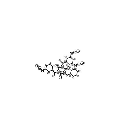 CC(C1CCCC(N=C=O)C1)n1c(=O)n(CC2CCCC(N=C=O)C2)c(=O)n(C(C)C2CCCC(N=C=O)C2)c1=O